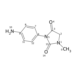 CN1CC(=O)N(c2ccc(N)cc2)C1=O